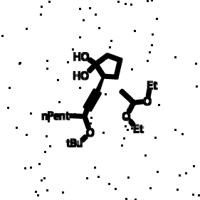 CCCCCC(C#C[C@@H]1CCCC1(O)O)OC(C)(C)C.CCOC(C)OCC